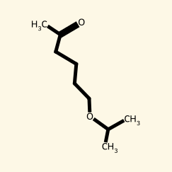 CC(=O)CCCCOC(C)C